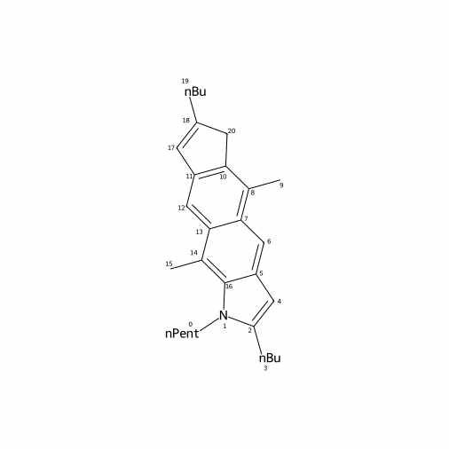 CCCCCn1c(CCCC)cc2cc3c(C)c4c(cc3c(C)c21)C=C(CCCC)C4